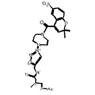 CC(=O)SC[C@@H](C)C(=O)[N-]c1c[n+](N2CCN(C(=O)C3=CC(C)(C)Oc4ccc([N+](=O)[O-])cc43)CC2)no1